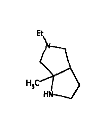 CCN1CC2CCNC2(C)C1